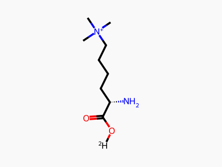 [2H]OC(=O)[C@@H](N)CCCC[N+](C)(C)C